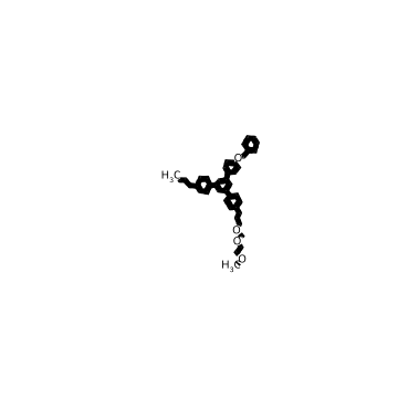 CCCCc1ccc(-c2cc(-c3ccc(CCCOCOCCOC)cc3)cc(-c3ccc(OCc4ccccc4)cc3)c2)cc1